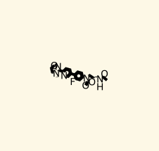 CC(=O)NC[C@H]1CN(c2ccc(-c3ccc(C4=NOCCN4C)nc3)c(F)c2)C(=O)O1